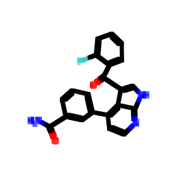 NC(=O)c1cccc(-c2ccnc3[nH]cc(C(=O)c4ccccc4F)c23)c1